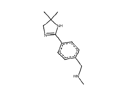 CNCc1ccc(C2=NCC(C)(C)N2)cc1